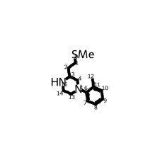 CSCCC1CN(c2ccccc2C)CCN1